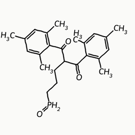 Cc1cc(C)c(C(=O)C(CCC[PH2]=O)C(=O)c2c(C)cc(C)cc2C)c(C)c1